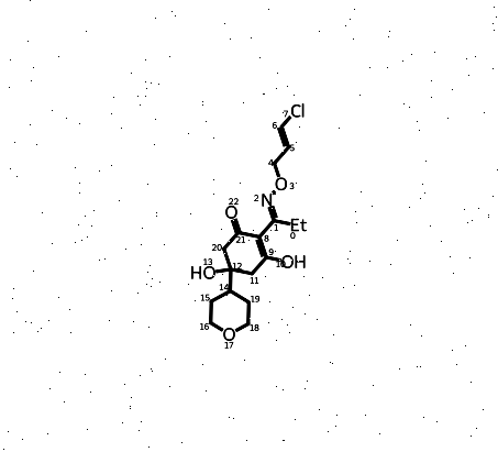 CCC(=NOC/C=C/Cl)C1=C(O)CC(O)(C2CCOCC2)CC1=O